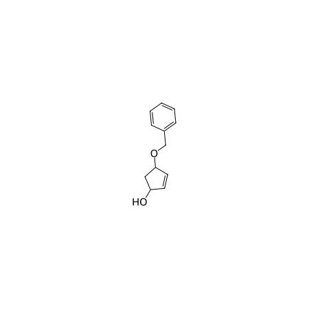 OC1C=CC(OCc2ccccc2)C1